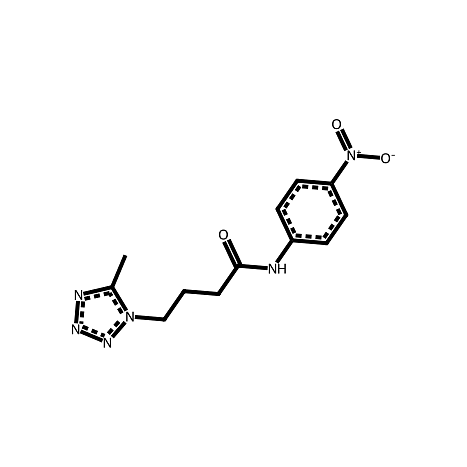 Cc1nnnn1CCCC(=O)Nc1ccc([N+](=O)[O-])cc1